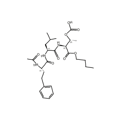 CCCCOC(=O)[C@@H](NC(=O)[C@H](CC(C)C)NC(=O)[C@H](CCc1ccccc1)NC(C)=O)[C@@H](C)OC(=O)O